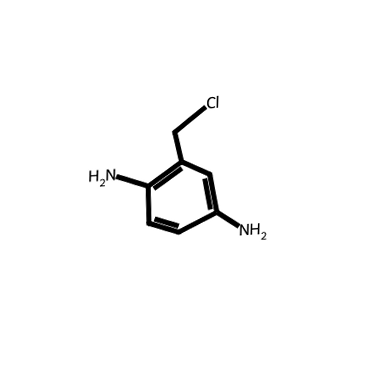 Nc1ccc(N)c(CCl)c1